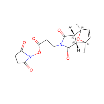 C[C@]12C=C[C@](C)(O1)[C@@H]1C(=O)N(CCC(=O)ON3C(=O)CCC3=O)C(=O)[C@@H]12